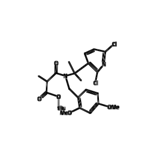 COc1ccc(CN(C(=O)C(C)C(=O)OC(C)(C)C)C(C)(C)c2ccc(Cl)nc2Cl)c(OC)c1